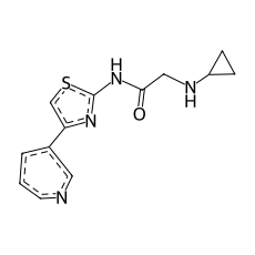 O=C(CNC1CC1)Nc1nc(-c2cccnc2)cs1